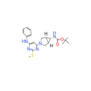 CSc1nc(Nc2ccccc2)cc(N2C[C@@H]3[C@H](C2)[C@H]3NC(=O)OC(C)(C)C)n1